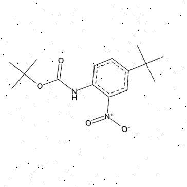 CC(C)(C)OC(=O)Nc1ccc(C(C)(C)C)cc1[N+](=O)[O-]